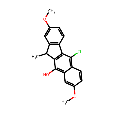 COc1ccc2c(c1)C(C)c1c-2c(Cl)c2ccc(OC)cc2c1O